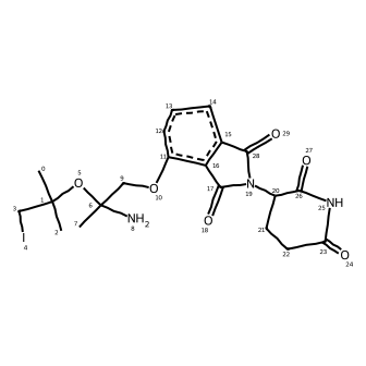 CC(C)(CI)OC(C)(N)COc1cccc2c1C(=O)N(C1CCC(=O)NC1=O)C2=O